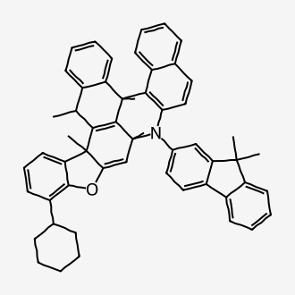 CC1C2=C3C(C)(c4ccccc41)c1c(ccc4ccccc14)N(c1ccc4c(c1)C(C)(C)c1ccccc1-4)C3(C)C=C1Oc3c(C4CCCCC4)cccc3C12C